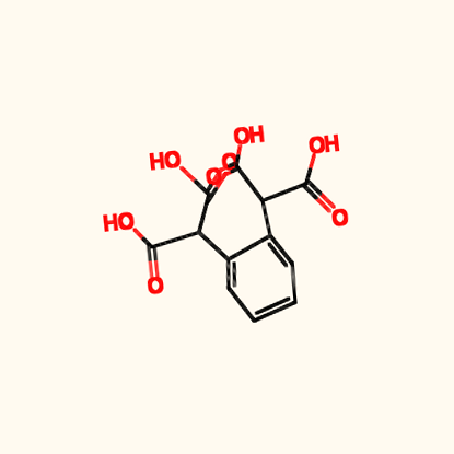 O=C(O)C(C(=O)O)c1ccccc1C(C(=O)O)C(=O)O